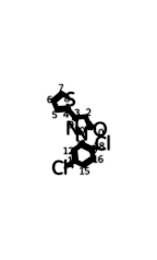 O=C1CC(c2cccs2)=NN1c1cc(Cl)ccc1Cl